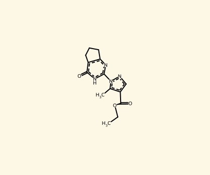 CCOC(=O)c1cnn(-c2nc3c(c(=O)[nH]2)CCC3)c1C